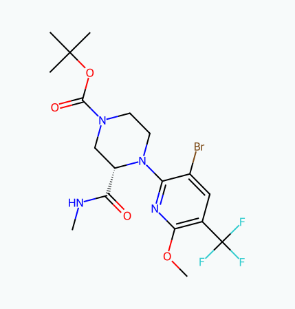 CNC(=O)[C@@H]1CN(C(=O)OC(C)(C)C)CCN1c1nc(OC)c(C(F)(F)F)cc1Br